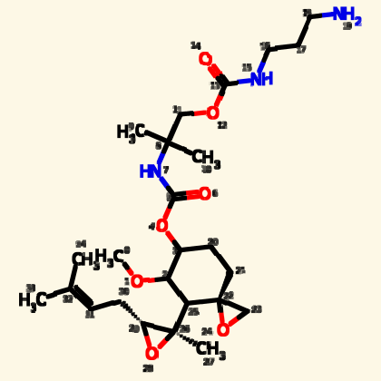 COC1C(OC(=O)NC(C)(C)COC(=O)NCCCN)CC[C@]2(CO2)C1[C@@]1(C)O[C@@H]1CC=C(C)C